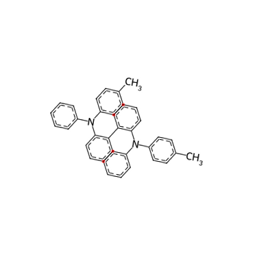 Cc1ccc(N(c2ccccc2)c2ccccc2-c2ccccc2N(c2ccccc2)c2ccc(C)cc2)cc1